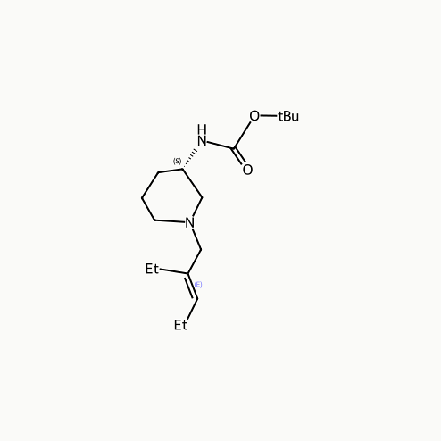 CC/C=C(\CC)CN1CCC[C@H](NC(=O)OC(C)(C)C)C1